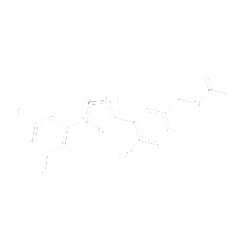 O=C(NCc1ccc(Cl)c(-c2nn(-c3cc(F)cc(C(F)(F)F)c3)c(=O)[nH]2)c1)C(F)(F)F